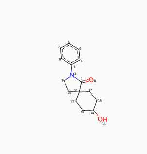 O=C1N(c2ccccc2)CCC12CCC(O)CC2